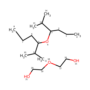 CCCC(OC(CCC)C(C)C)C(C)C.OCCOCCO